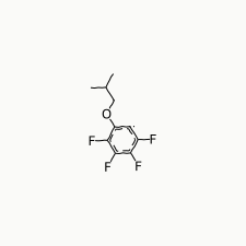 CC(C)COc1[c]c(F)c(F)c(F)c1F